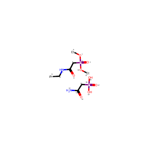 CCOP(=O)(CC(=O)NCC(C)C)OCC.NC(=O)CP(=O)(O)O